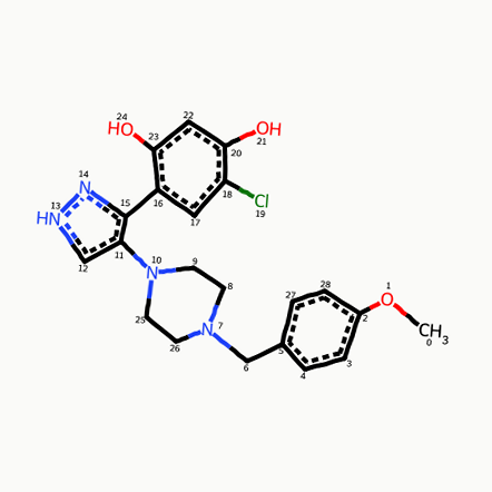 COc1ccc(CN2CCN(c3c[nH]nc3-c3cc(Cl)c(O)cc3O)CC2)cc1